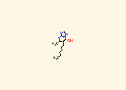 CCCCCCc1c(C)nc2ncnn2c1O